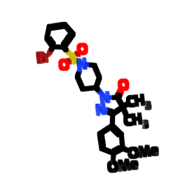 COc1ccc(C2=NN(C3CCN(S(=O)(=O)c4ccccc4Br)CC3)C(=O)C2(C)C)cc1OC